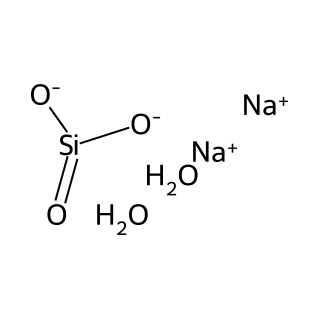 O.O.O=[Si]([O-])[O-].[Na+].[Na+]